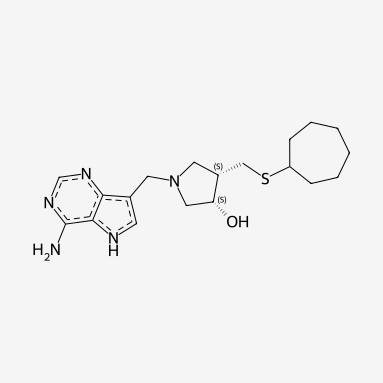 Nc1ncnc2c(CN3C[C@H](CSC4CCCCCC4)[C@H](O)C3)c[nH]c12